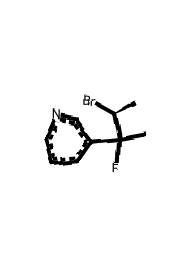 C[C@H](Br)C(C)(F)c1cccnc1